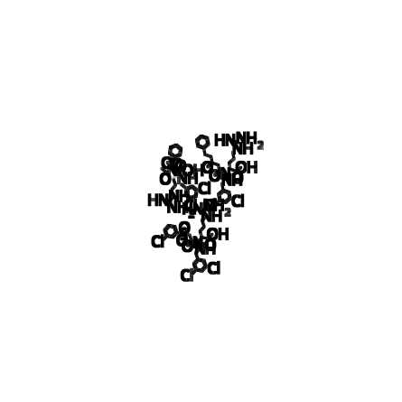 CC(=O)N([C@](CCCNC(=N)N)(NCc1cc(Cl)cc(Cl)c1)C(=O)O)S(=O)(=O)c1ccccc1.N=C(N)NCCC[C@@H](C(=O)O)N(NCc1cc(Cl)cc(Cl)c1)C(=O)CC(=O)CCc1ccccc1.N=C(N)NCCC[C@@H](C(=O)O)N(NCc1cc(Cl)cc(Cl)c1)C(=O)CS(=O)(=O)c1cccc(Cl)c1